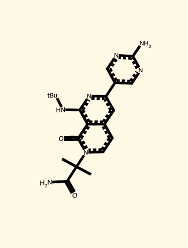 CC(C)(C)Nc1nc(-c2cnc(N)nc2)cc2ccn(C(C)(C)C(N)=O)c(=O)c12